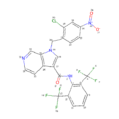 O=C(Nc1c(C(F)(F)F)cccc1C(F)(F)F)c1cn(Cc2ccc([N+](=O)[O-])cc2Cl)c2cnccc12